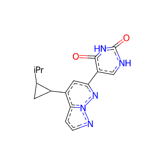 CC(C)C1CC1c1cc(-c2c[nH]c(=O)[nH]c2=O)nn2nccc12